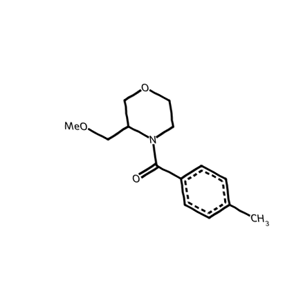 COCC1COCCN1C(=O)c1ccc(C)cc1